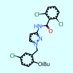 CC(C)COc1ccc(Cl)cc1Cn1ccc(NC(=O)c2c(Cl)cccc2Cl)n1